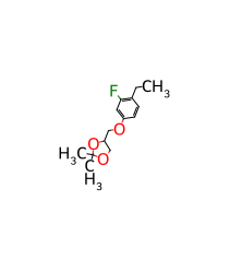 CCc1ccc(OCC2COC(C)(C)O2)cc1F